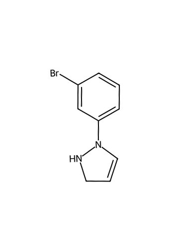 Brc1cccc(N2C=CCN2)c1